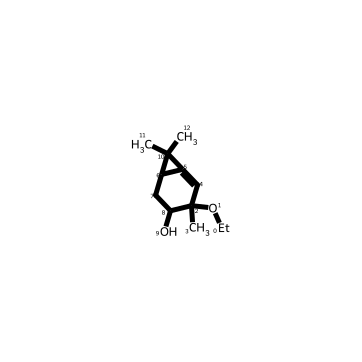 CCOC1(C)C=C2C(CC1O)C2(C)C